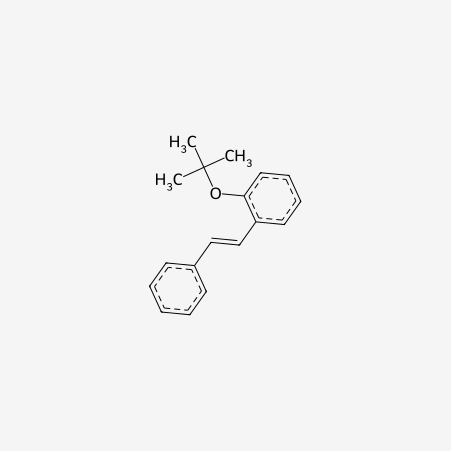 CC(C)(C)Oc1ccccc1C=Cc1ccccc1